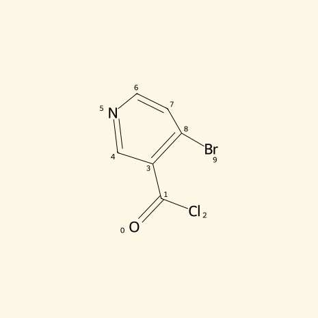 O=C(Cl)c1cnccc1Br